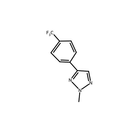 Cn1ncc(-c2ccc(C(F)(F)F)cc2)n1